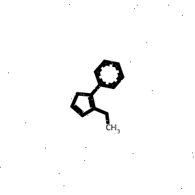 CCC1=C(c2ccccc2)CC=C1